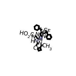 C#CC(/N=C(\N=C1/CN(CC2CCCCC2)C(C(C)(F)c2ccccc2)=N1)C(=N)NC(=O)O)N[C@H](C)C1CCC1